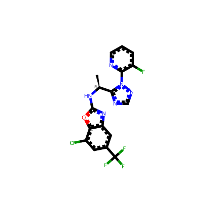 C[C@H](Nc1nc2cc(C(F)(F)F)cc(Cl)c2o1)c1ncnn1-c1ncccc1F